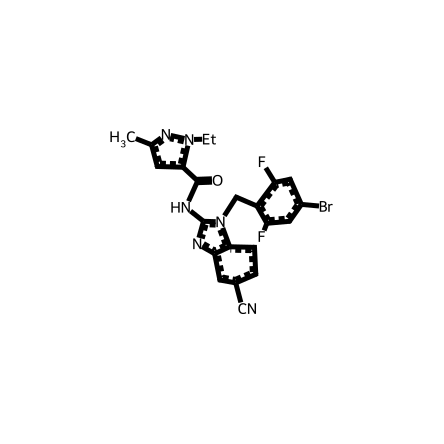 CCn1nc(C)cc1C(=O)Nc1nc2cc(C#N)ccc2n1Cc1c(F)cc(Br)cc1F